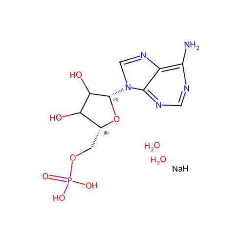 Nc1ncnc2c1ncn2[C@@H]1O[C@H](COP(=O)(O)O)C(O)C1O.O.O.[NaH]